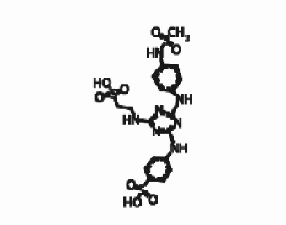 CS(=O)(=O)Nc1ccc(Nc2nc(NCCS(=O)(=O)O)nc(Nc3ccc(S(=O)(=O)O)cc3)n2)cc1